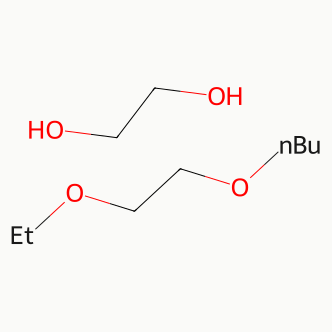 CCCCOCCOCC.OCCO